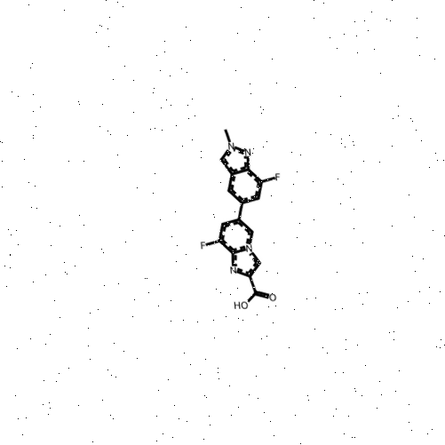 Cn1cc2cc(-c3cc(F)c4nc(C(=O)O)cn4c3)cc(F)c2n1